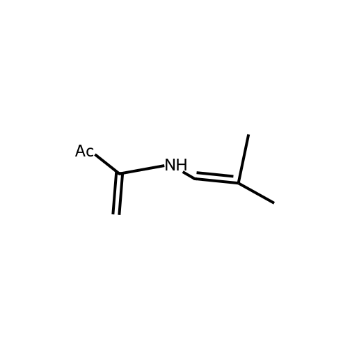 C=C(NC=C(C)C)C(C)=O